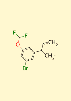 [CH2]C(C=C)c1cc(Br)cc(OC(F)F)c1